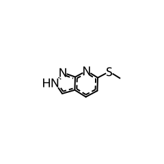 CSc1ccc2c[nH]nc2n1